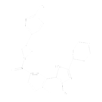 Cc1ccc(C(=O)N2CC(c3ccc(C#N)cc3)C2)cc1-c1[nH]c(C2CCOCC2)nc1C#N